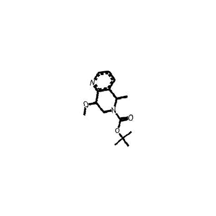 COC1CN(C(=O)OC(C)(C)C)C(C)c2cccnc21